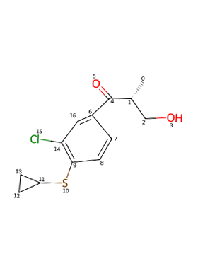 C[C@H](CO)C(=O)c1ccc(SC2CC2)c(Cl)c1